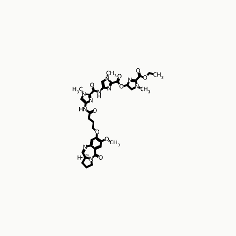 CCOC(=O)C1=NC(OC(=O)c2nc(NC(=O)c3nc(NC(=O)CCCOc4cc5c(cc4OC)C(=O)N4CCC[C@H]4C=N5)cn3C)cn2C)CN1C